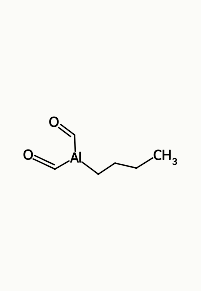 CCC[CH2][Al]([CH]=O)[CH]=O